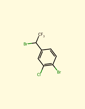 FC(F)(F)C(Br)c1ccc(Br)c(Cl)c1